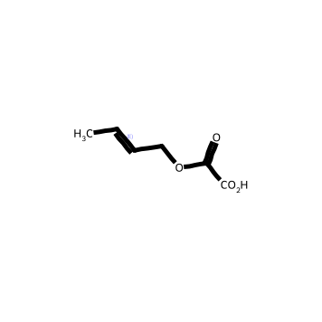 C/C=C/COC(=O)C(=O)O